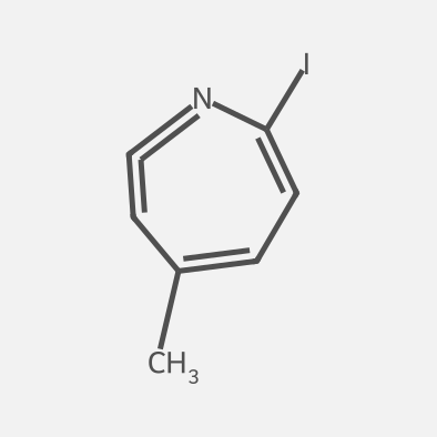 CC1=CC=C(I)N=C=C1